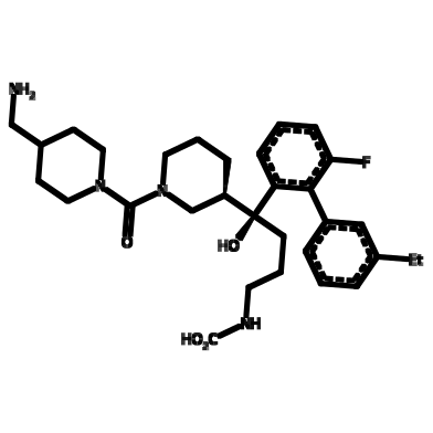 CCc1cccc(-c2c(F)cccc2[C@](O)(CCCNC(=O)O)[C@@H]2CCCN(C(=O)N3CCC(CN)CC3)C2)c1